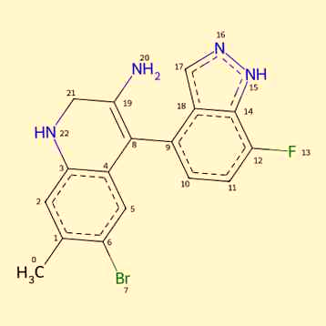 Cc1cc2c(cc1Br)C(c1ccc(F)c3[nH]ncc13)=C(N)CN2